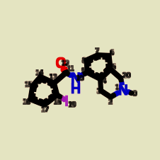 CN1CCc2c(cccc2NC(=O)c2ccccc2I)C1